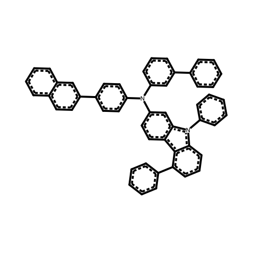 c1ccc(-c2cccc(N(c3ccc(-c4ccc5ccccc5c4)cc3)c3ccc4c5c(-c6ccccc6)cccc5n(-c5ccccc5)c4c3)c2)cc1